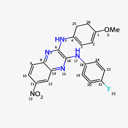 COC1=CC=C(Nc2nc3ccc([N+](=O)[O-])cc3nc2NC2=C=C=C(F)C=C2)CC1